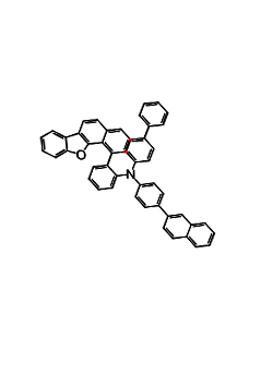 c1ccc(-c2ccc(N(c3ccc(-c4ccc5ccccc5c4)cc3)c3ccccc3-c3cccc4ccc5c6ccccc6oc5c34)cc2)cc1